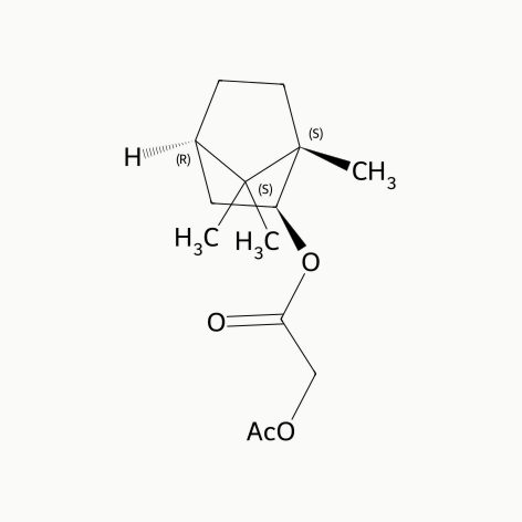 CC(=O)OCC(=O)O[C@H]1C[C@H]2CC[C@@]1(C)C2(C)C